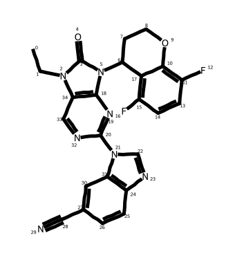 CCn1c(=O)n(C2CCOc3c(F)ccc(F)c32)c2nc(-n3cnc4ccc(C#N)cc43)ncc21